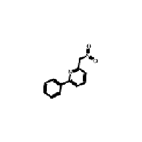 O=[SH](=O)Cc1cccc(-c2ccccc2)n1